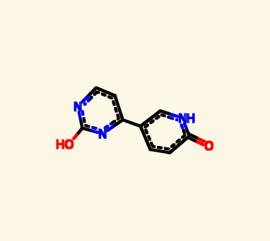 O=c1ccc(-c2ccnc(O)n2)c[nH]1